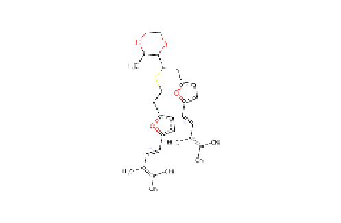 CC(/C=C/c1ccc(CCSC(Cc2ccc(/C=C/C(C)=C(C#N)C#N)o2)C2OCCOC2C)o1)=C(C#N)C#N